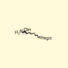 CCCCCCCCCCCCCC/C(O)=C/N